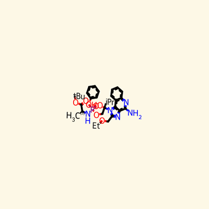 CCOCc1nc2c(N)nc3ccccc3c2n1C(O)(COP(=O)(N[C@@H](C)C(=O)OC(C)(C)C)Oc1ccccc1)C(C)C